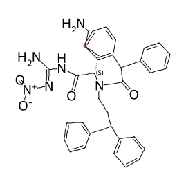 NCCC[C@@H](C(=O)NC(N)=N[N+](=O)[O-])N(CCC(c1ccccc1)c1ccccc1)C(=O)C(c1ccccc1)c1ccccc1